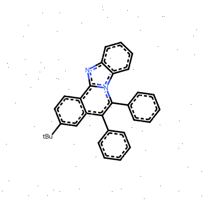 CC(C)(C)c1ccc2c(c1)c(-c1ccccc1)c(-c1ccccc1)n1c3ccccc3nc21